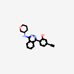 C#Cc1ccc(-c2nnc(N[C@@H]3CCCOC3)c3ccccc23)c(O)c1